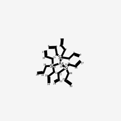 C=CC[Si](CC=C)(CC=C)[As]([Si](CC=C)(CC=C)CC=C)[Si](CC=C)(CC=C)CC=C